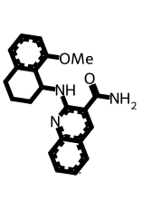 COc1cccc2c1C(Nc1nc3cc[c]cc3cc1C(N)=O)CCC2